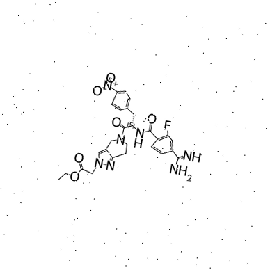 CCOC(=O)Cn1cc2c(n1)CCN(C(=O)[C@H](Cc1ccc([N+](=O)[O-])cc1)NC(=O)c1ccc(C(=N)N)cc1F)C2